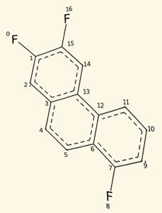 Fc1[c]c2ccc3c(F)[c]ccc3c2cc1F